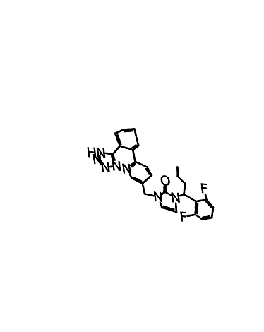 CCCC(c1c(F)cccc1F)n1ccn(Cc2ccc(-c3ccccc3-c3nnn[nH]3)nc2)c1=O